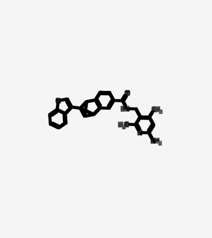 Cc1cc(N)nc(C)c1CNC(=O)c1ccc2c(c1)C1C=C(c3coc4ccccc34)C2C1